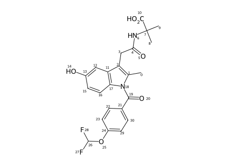 Cc1c(CC(=O)NC(C)(C)C(=O)O)c2cc(O)ccc2n1C(=O)c1ccc(OC(F)F)cc1